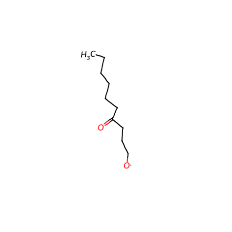 CCCCCCC(=O)CCC[O]